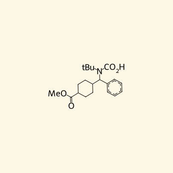 COC(=O)C1CCC(C(c2ccccc2)N(C(=O)O)C(C)(C)C)CC1